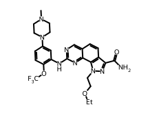 CCOCCn1nc(C(N)=O)c2ccc3cnc(Nc4cc(N5CCN(C)CC5)ccc4OC(F)(F)F)nc3c21